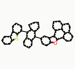 c1ccc2c(c1)sc1c(-c3c4ccccc4c(-c4ccc5oc6c7cccc8ccc9cccc(c6c5c4)c9c87)c4ccccc34)cccc12